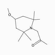 COC1CC(C)(C)N(CC(C)=O)C(C)(C)C1